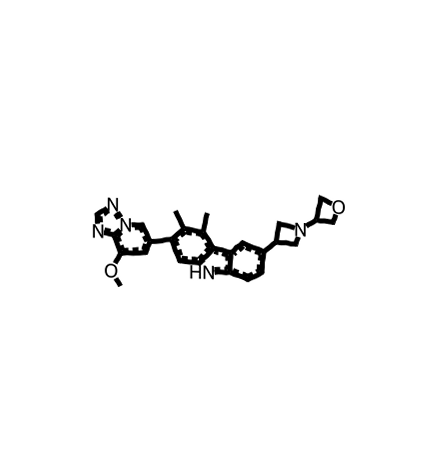 COc1cc(-c2cc3[nH]c4ccc(C5CN(C6COC6)C5)cc4c3c(C)c2C)cn2ncnc12